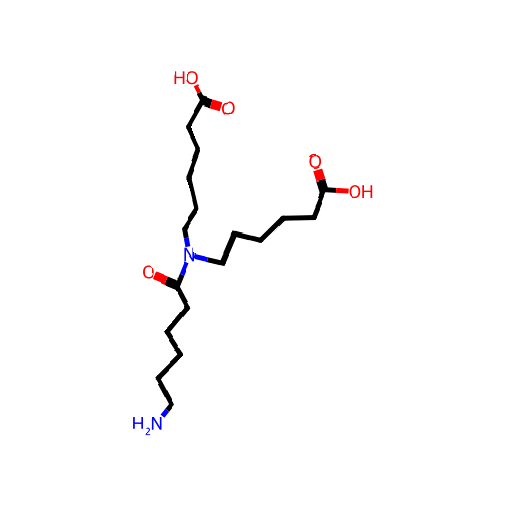 NCCCCCC(=O)N(CCCCCC(=O)O)CCCCCC(=O)O